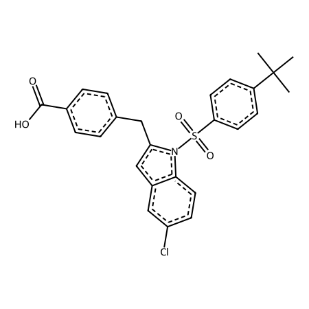 CC(C)(C)c1ccc(S(=O)(=O)n2c(Cc3ccc(C(=O)O)cc3)cc3cc(Cl)ccc32)cc1